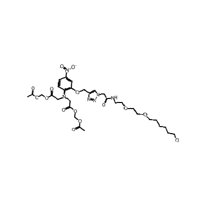 CC(=O)OCOC(=O)CN(CC(=O)OCOC(C)=O)c1ccc([N+](=O)[O-])cc1OCc1cn(CC(=O)NCCOCCOCCCCCCCl)nn1